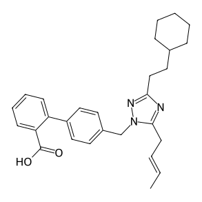 C/C=C/Cc1nc(CCC2CCCCC2)nn1Cc1ccc(-c2ccccc2C(=O)O)cc1